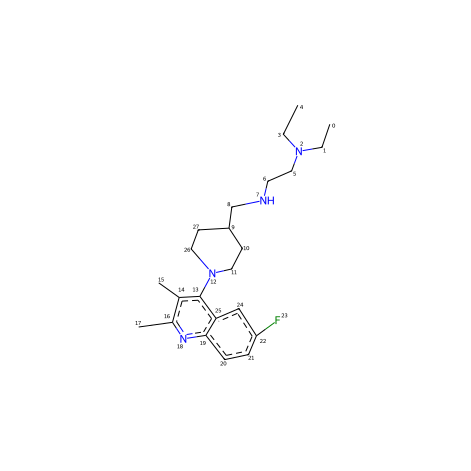 CCN(CC)CCNCC1CCN(c2c(C)c(C)nc3ccc(F)cc23)CC1